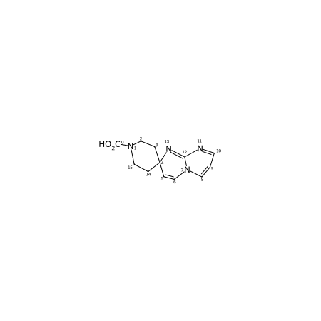 O=C(O)N1CCC2(C=CN3C=CC=NC3=N2)CC1